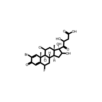 C[C@]12C=C(Br)C(=O)C=C1C(F)C[C@H]1[C@@H]3CC(O)[C@](O)(C(=O)C(O)CC(=O)O)[C@@]3(C)CC(Cl)[C@@]12Cl